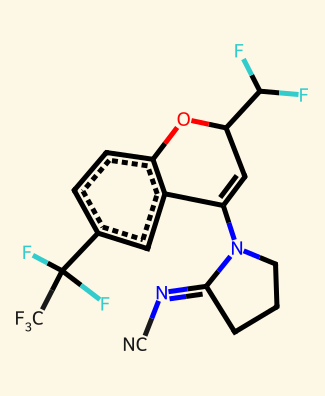 N#CN=C1CCCN1C1=CC(C(F)F)Oc2ccc(C(F)(F)C(F)(F)F)cc21